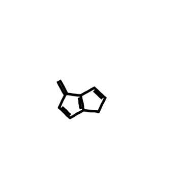 C=C1C=CC2=C1C=CC2